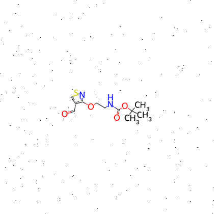 CC(C)(C)OC(=O)NCCOc1nscc1C=O